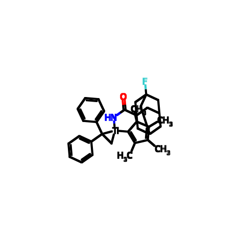 CC1=C(C)C(C)[C]([Ti]2([NH]C(=O)C34CC5CC(CC(F)(C5)C3)C4)[CH2][C]2(c2ccccc2)c2ccccc2)=C1C